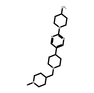 CC1CCN(c2ncc(C3CCN(CC4CCN(I)CC4)CC3)cn2)CC1